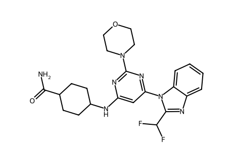 NC(=O)C1CCC(Nc2cc(-n3c(C(F)F)nc4ccccc43)nc(N3CCOCC3)n2)CC1